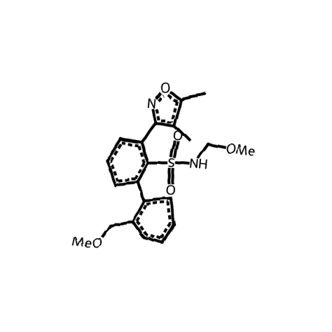 COCNS(=O)(=O)c1c(-c2ccccc2COC)cccc1-c1noc(C)c1C